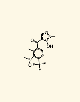 Cc1c(C(=O)c2cnn(C)c2O)ccc(C(F)(F)F)c1[S+](C)[O-]